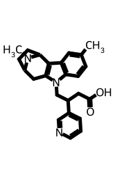 Cc1ccc2c(c1)c1c(n2CC(CC(=O)O)c2cccnc2)CC2CCC1N2C